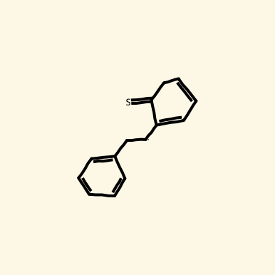 S=C1CC=CC=C1[CH]Cc1ccccc1